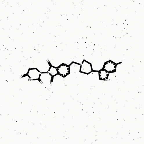 O=C1CCN(N2C(=O)c3ccc(CN4CCC(c5c[nH]c6cc(F)ccc56)CC4)cc3C2=O)C(=O)N1